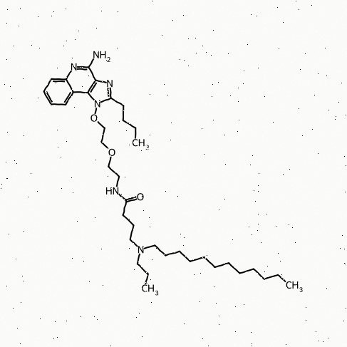 CCCCCCCCCCCCN(CCC)CCCC(=O)NCCOCCOn1c(CCCC)nc2c(N)nc3ccccc3c21